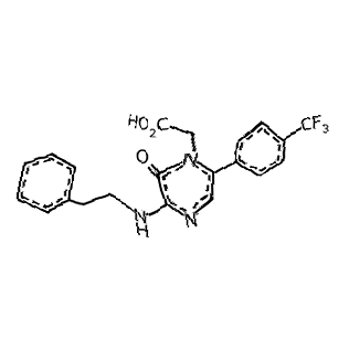 O=C(O)Cn1c(-c2ccc(C(F)(F)F)cc2)cnc(NCCc2ccccc2)c1=O